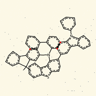 CC1(C)c2ccccc2-c2ccc(N(c3ccccc3-c3ccccc3)c3c(-c4ccc5c(c4)c4ccccc4n5-c4ccccc4)ccc4sc5ccccc5c34)cc21